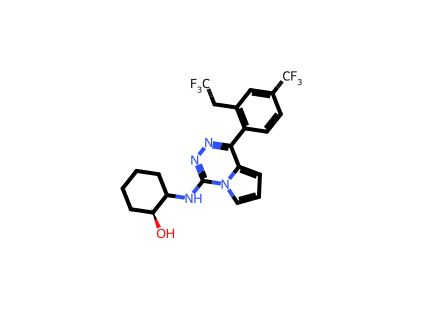 O[C@H]1CCCCC1Nc1nnc(-c2ccc(C(F)(F)F)cc2CC(F)(F)F)c2cccn12